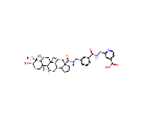 CC1(C)C(O)CCC2(C)C1CCC1(C)C3CCC4(C(=O)NCc5cccc(C(=O)NCc6cc(C(=O)O)ccn6)c5)CCCC4C3CCC12